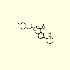 CNC(CC(C)C)c1ccc(COC(C)CC2CCC(C)CC2)c(C(=O)OC)c1